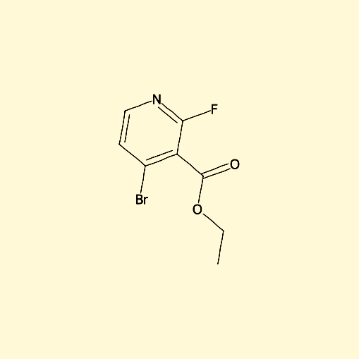 CCOC(=O)c1c(Br)ccnc1F